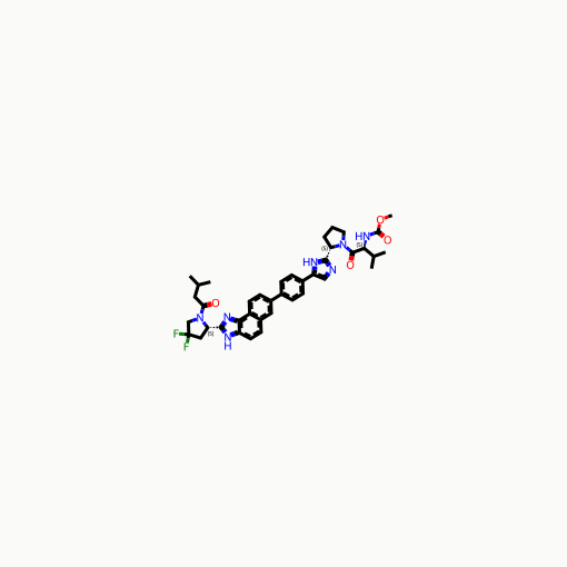 COC(=O)N[C@H](C(=O)N1CCC[C@H]1c1ncc(-c2ccc(-c3ccc4c(ccc5[nH]c([C@@H]6CC(F)(F)CN6C(=O)CC(C)C)nc54)c3)cc2)[nH]1)C(C)C